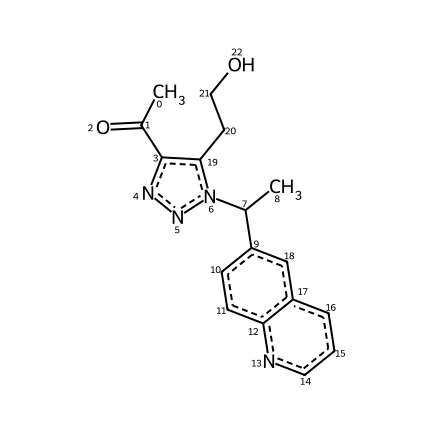 CC(=O)c1nnn(C(C)c2ccc3ncccc3c2)c1CCO